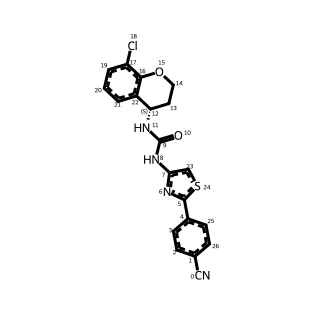 N#Cc1ccc(-c2nc(NC(=O)N[C@H]3CCOc4c(Cl)cccc43)cs2)cc1